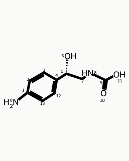 Nc1ccc([C@H](O)CNC(=O)O)cc1